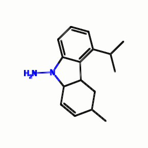 CC1C=CC2C(C1)c1c(C(C)C)cccc1N2N